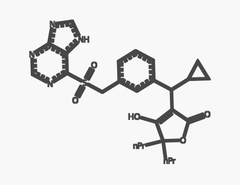 CCCC1(CCC)OC(=O)C(C(c2cccc(CS(=O)(=O)c3ncnc4nc[nH]c34)c2)C2CC2)=C1O